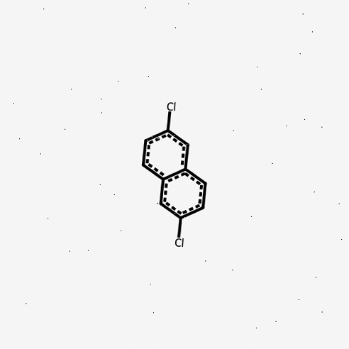 Clc1[c]c2ccc(Cl)cc2cc1